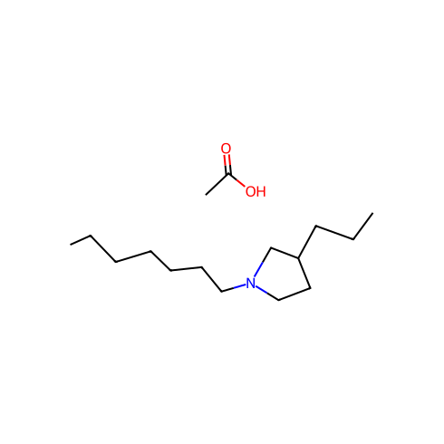 CC(=O)O.CCCCCCCN1CCC(CCC)C1